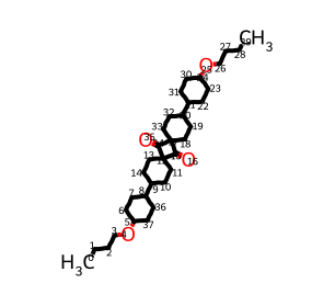 CCCCOC1CCC(C2CCC3(CC2)C(=O)C2(CCC(C4CCC(OCCCC)CC4)CC2)C3=O)CC1